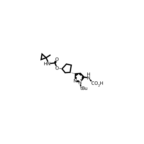 CC1(NC(=O)O[C@@H]2CC[C@H](c3cc(NC(=O)O)n(C(C)(C)C)n3)C2)CC1